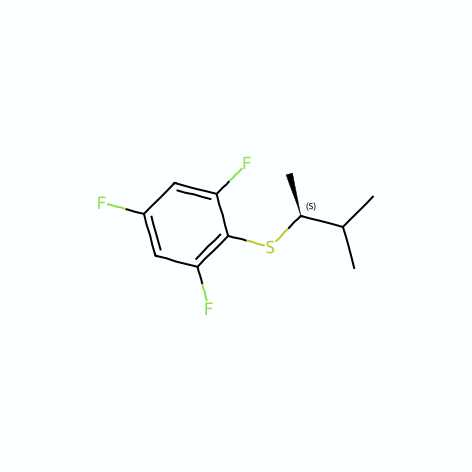 CC(C)[C@H](C)Sc1c(F)cc(F)cc1F